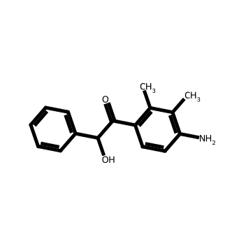 Cc1c(N)ccc(C(=O)C(O)c2ccccc2)c1C